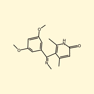 C/N=C(/c1cc(OC)cc(OC)c1)c1c(C)cc(=O)[nH]c1C